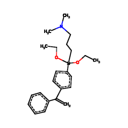 C=C(c1ccccc1)c1ccc([Si](CCCN(C)C)(OCC)OCC)cc1